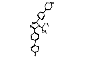 CC(C)n1c(-c2ccc(C3=CCNCC3)cc2)nnc1-c1ccc(C2=CCNCC2)cc1